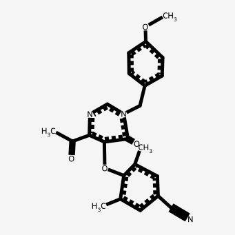 COc1ccc(Cn2cnc(C(C)=O)c(Oc3c(C)cc(C#N)cc3C)c2=O)cc1